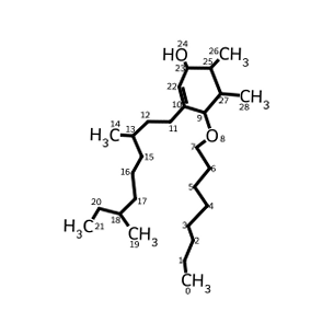 CCCCCCCCOC1C(CCC(C)CCCC(C)CC)=CC(O)C(C)C1C